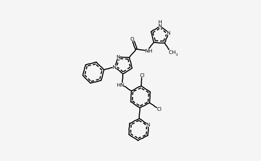 Cc1n[nH]cc1NC(=O)c1cc(Nc2cc(-c3ccccn3)c(Cl)cc2Cl)n(-c2ccccc2)n1